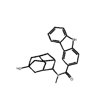 CN(C(=O)c1ccc2[nH]c3ccccc3c2c1)C1C2CC3CC1CC(O)(C3)C2